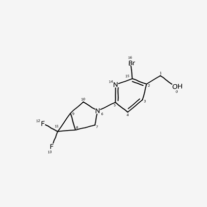 OCc1ccc(N2CC3C(C2)C3(F)F)nc1Br